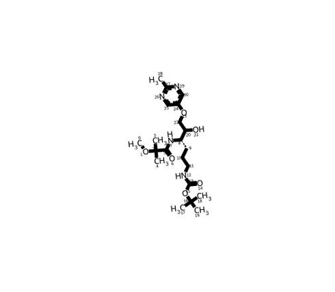 COC(C)(C)C(=O)N[C@@H](CCCNC(=O)OC(C)(C)C)C(O)COc1cnc(C)nc1